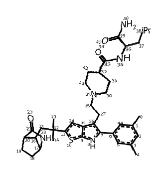 Cc1cc(C)cc(-c2[nH]c3sc(C(C)(C)CC4C5CCC4C(=O)N5)cc3c2CCN2CCC(C(=O)NC(CC(C)C)C(N)=O)CC2)c1